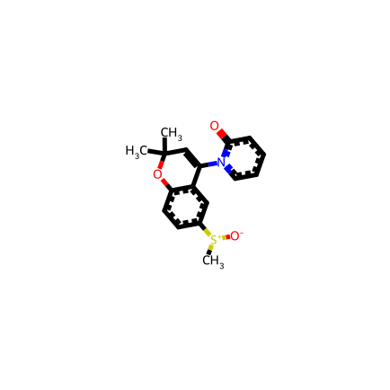 C[S+]([O-])c1ccc2c(c1)C(n1ccccc1=O)=CC(C)(C)O2